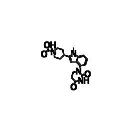 Cn1c(C2CCN(C(=O)O)CC2)cc2c(N3CCC(=O)NC3=O)cccc21